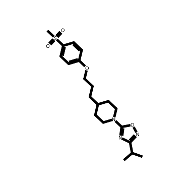 CC(C)c1noc(N2CCC(CCCOc3ccc(S(C)(=O)=O)cc3)CC2)n1